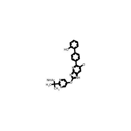 CC(=O)NC(C)(C)c1ncc(Oc2nc3nc(-c4ccc(-c5ccccc5O)cc4)c(Cl)cc3[nH]2)cn1